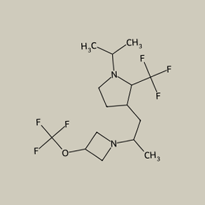 CC(CC1CCN(C(C)C)C1C(F)(F)F)N1CC(OC(F)(F)F)C1